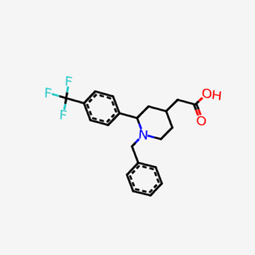 O=C(O)CC1CCN(Cc2ccccc2)C(c2ccc(C(F)(F)F)cc2)C1